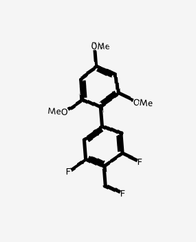 COc1cc(OC)c(-c2cc(F)c(CF)c(F)c2)c(OC)c1